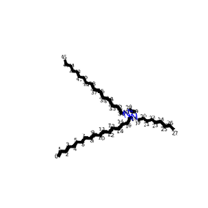 CCCCCCCCCCCCCCCCCc1n(CCCCCCCCC)cc[n+]1CCCCCCCCCCCCCCCC